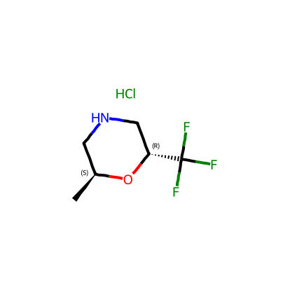 C[C@H]1CNC[C@H](C(F)(F)F)O1.Cl